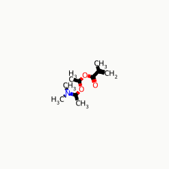 C=C(C)C(=O)OC(C)OC(C)N(C)C